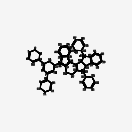 C1=CCCC(C2=CC(C3=CCCC=C3)=CC(n3c4c(c5ccccc53)C3=C(CC4)N(C4C=CC=CC4)C4c5ccccc5N(C5C=CC=CC5)C34)C2)=C1